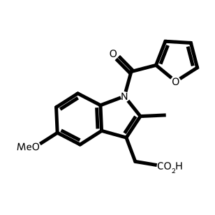 COc1ccc2c(c1)c(CC(=O)O)c(C)n2C(=O)c1ccco1